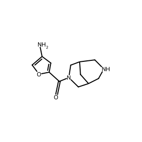 Nc1coc(C(=O)N2CC3CNCC(C3)C2)c1